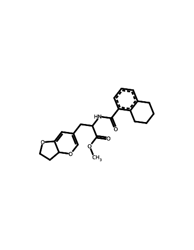 COC(=O)C(CC1=COC2CCOC2=C1)NC(=O)c1cccc2c1CCCC2